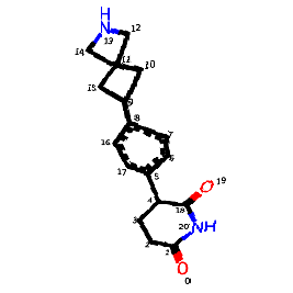 O=C1CCC(c2ccc(C3CC4(CNC4)C3)cc2)C(=O)N1